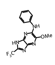 COc1nc2nc(C(F)(F)F)[nH]c2nc1Nc1ccccc1